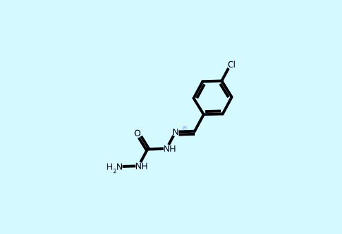 NNC(=O)N/N=C/c1ccc(Cl)cc1